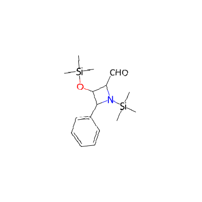 C[Si](C)(C)OC1C(C=O)N([Si](C)(C)C)C1c1ccccc1